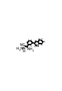 N#C/C(NN)=C(/N)c1cccc(-c2cnc3ccccc3c2)c1